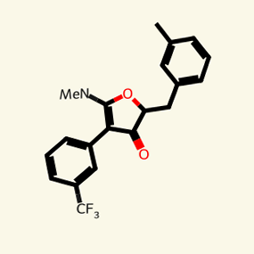 CNC1=C(c2cccc(C(F)(F)F)c2)C(=O)C(Cc2cccc(C)c2)O1